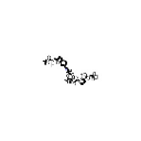 CC(C)[C@H](OC(=O)C(C)(C)/C=C/c1ccc2ccc([C@@H](C)NC(=O)OC(C)(C)C)nc2c1)C(=O)N[C@@H](C)C(=O)N1CCC[C@@H](C(=O)OCC(Cl)(Cl)Cl)N1